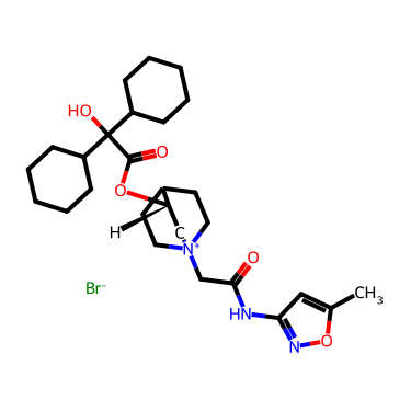 Cc1cc(NC(=O)C[N+]23CCC(CC2)[C@@H](OC(=O)C(O)(C2CCCCC2)C2CCCCC2)C3)no1.[Br-]